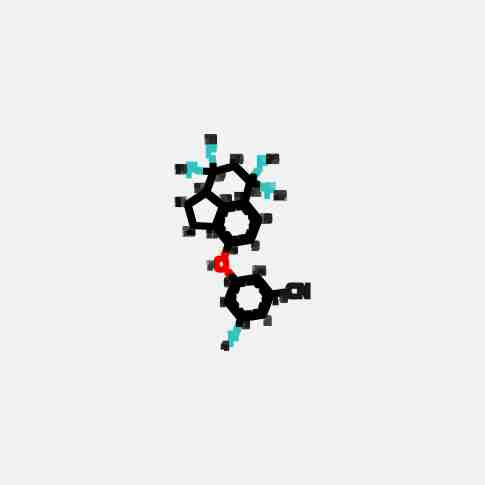 N#Cc1cc(F)cc(Oc2ccc3c4c2CCC4C(F)(F)CC3(F)F)c1